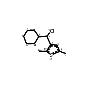 Cc1cc(C(Cl)C2CCCCC2)c(C)s1